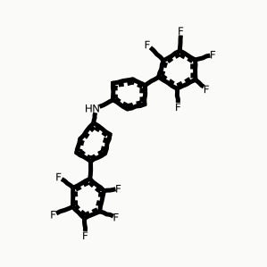 Fc1c(F)c(F)c(-c2ccc(Nc3ccc(-c4c(F)c(F)c(F)c(F)c4F)cc3)cc2)c(F)c1F